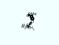 COC(=O)c1ccc2ccc(OCOCC[Si](C)(C)C)cc2c1